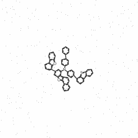 c1ccc(-c2ccc(N(c3ccc(-c4cccc5c4sc4ccccc45)cc3)c3cc(-c4cccc5c4oc4ccccc45)cc4oc5c6ccccc6ccc5c34)cc2)cc1